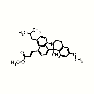 COC(=O)C=Cc1ccc(C2(C)c3ccc(OC)cc3CCN2c2ccc(CC(C)C)cc2)cc1